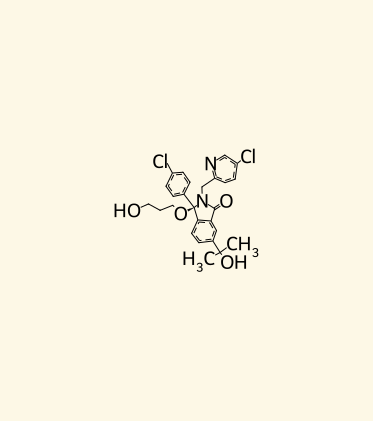 CC(C)(O)c1ccc2c(c1)C(=O)N(Cc1ccc(Cl)cn1)[C@@]2(OCCCO)c1ccc(Cl)cc1